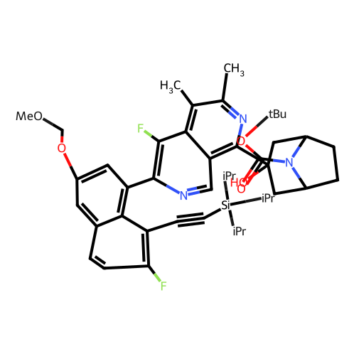 COCOc1cc(-c2ncc3c(C4(O)CC5CCC(C4)N5C(=O)OC(C)(C)C)nc(C)c(C)c3c2F)c2c(C#C[Si](C(C)C)(C(C)C)C(C)C)c(F)ccc2c1